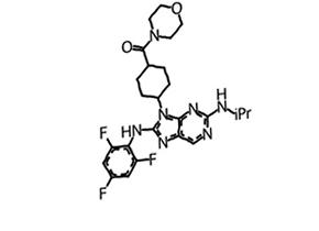 CC(C)Nc1ncc2nc(Nc3c(F)cc(F)cc3F)n(C3CCC(C(=O)N4CCOCC4)CC3)c2n1